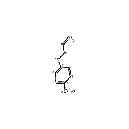 C=CCSc1ccc(C(=O)O)nc1